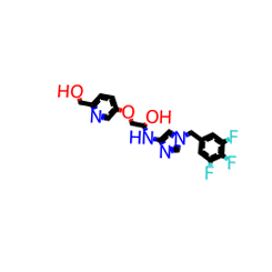 OCc1ccc(OCC(O)Nc2cn(Cc3cc(F)c(F)c(F)c3)cn2)cn1